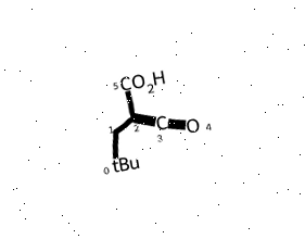 CC(C)(C)CC(=C=O)C(=O)O